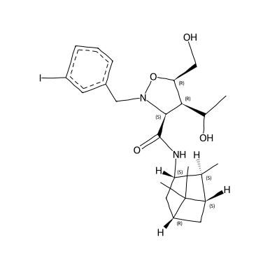 CC(O)[C@@H]1[C@H](CO)ON(Cc2cccc(I)c2)[C@@H]1C(=O)N[C@H]1C[C@H]2C[C@@H]([C@@H]1C)C2(C)C